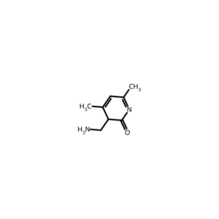 CC1=CC(C)=NC(=O)C1CN